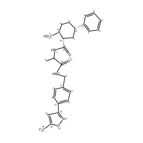 CC(NC(=O)[C@H]1C[C@@H](c2ccccc2)CCN1C(=O)O)C(=O)NCc1ccc(-c2noc(C(F)(F)F)n2)cc1